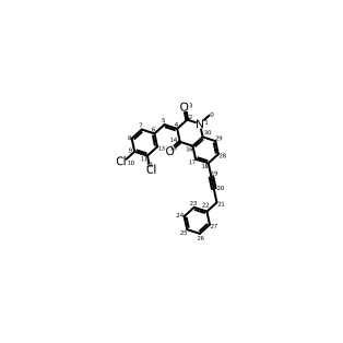 CN1C(=O)/C(=C/c2ccc(Cl)c(Cl)c2)C(=O)c2cc(C#CCc3ccccc3)ccc21